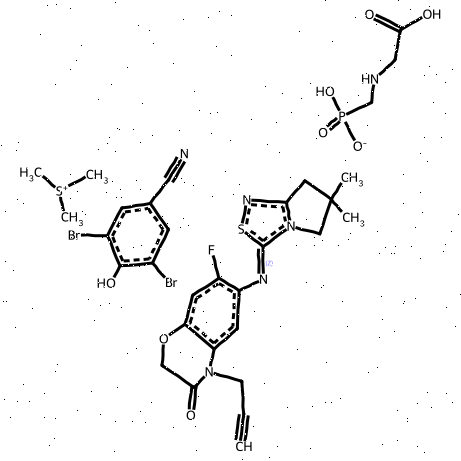 C#CCN1C(=O)COc2cc(F)c(/N=c3\snc4n3CC(C)(C)C4)cc21.C[S+](C)C.N#Cc1cc(Br)c(O)c(Br)c1.O=C(O)CNCP(=O)([O-])O